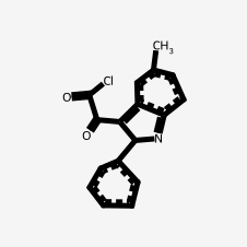 Cc1ccc2c(c1)=C(C(=O)C(=O)Cl)C(c1ccccc1)N=2